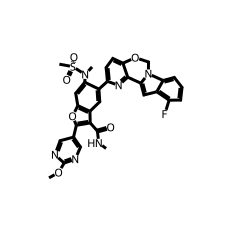 CNC(=O)c1c(-c2cnc(OC)nc2)oc2cc(N(C)S(C)(=O)=O)c(-c3ccc4c(n3)-c3cc5c(F)cccc5n3CO4)cc12